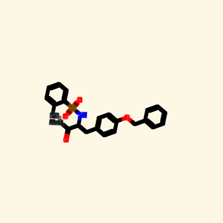 COC(=O)C(Cc1ccc(OCc2ccccc2)cc1)NS(=O)(=O)c1ccccc1[N+](=O)[O-]